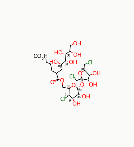 O=C(O)CCCC(C[C@@H](O)[C@@H](O)[C@H](O)C(O)CO)C(=O)OC[C@H]1O[C@H](O[C@]2(CCl)O[C@@H](CCl)C(O)C2O)[C@H](O)[C@@H](O)[C@H]1Cl